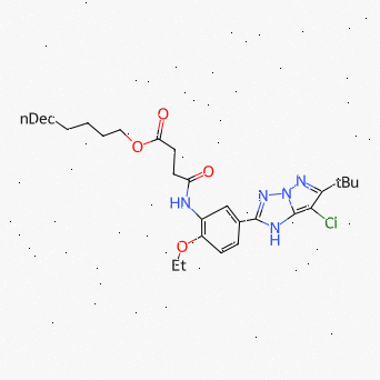 CCCCCCCCCCCCCCOC(=O)CCC(=O)Nc1cc(-c2nn3nc(C(C)(C)C)c(Cl)c3[nH]2)ccc1OCC